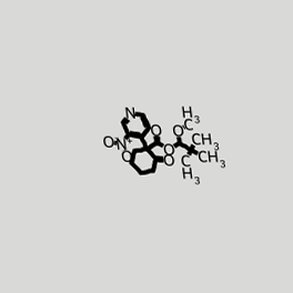 COC(OC(=O)C1(c2ccncc2[N+](=O)[O-])CCCCC1=O)C(C)(C)C